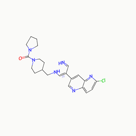 N=C/C(=C\NCC1CCN(C(=O)N2CCCC2)CC1)c1cnc2ccc(Cl)nc2c1